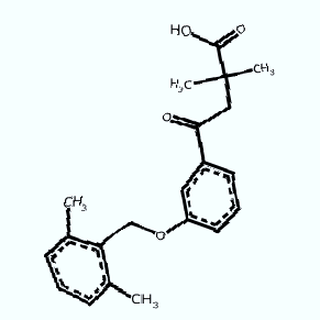 Cc1cccc(C)c1COc1cccc(C(=O)CC(C)(C)C(=O)O)c1